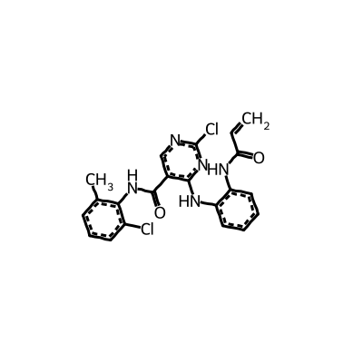 C=CC(=O)Nc1ccccc1Nc1nc(Cl)ncc1C(=O)Nc1c(C)cccc1Cl